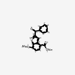 COC(=O)c1ccc(OC)c2oc(C(=O)c3ccccc3)cc12